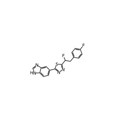 Fc1ccc(CC(F)c2nnc(-c3ccc4[nH]cnc4c3)s2)cc1